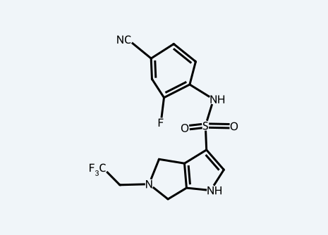 N#Cc1ccc(NS(=O)(=O)c2c[nH]c3c2CN(CC(F)(F)F)C3)c(F)c1